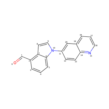 O=Cc1cccc2c1ccn2-c1ccc2ncccc2c1